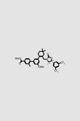 COC(=O)c1ccc(-c2cc(OC)cc(C3=C(CN4C(=O)O[C@H](c5cc(C(F)(F)F)cc(C(F)(F)F)c5)[C@@H]4C)CC(C)(C)CC3)c2)c(C)c1